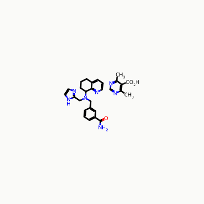 Cc1ncnc(C)c1C(=O)O.NC(=O)c1cccc(CN(Cc2ncc[nH]2)C2CCCc3cccnc32)c1